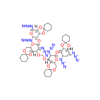 [N-]=[N+]=NC1C[C@@H](N=[N+]=[N-])[C@H]2OC3(CCCCC3)OC2[C@@H]1O[C@H]1OC2COC3(CCCCC3)O[C@H]2[C@H](OCOC2[C@@H]3OC4(CCCCC4)OCC3O[C@H](O[C@@H]3C(N=[N+]=[N-])O[C@@H](N=[N+]=[N-])[C@H]4OC5(CCCCC5)OC34)[C@H]2N=[N+]=[N-])C1N=[N+]=[N-]